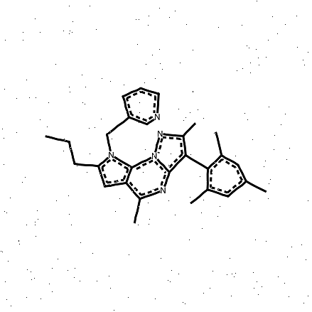 CCCc1cc2c(C)nc3c(-c4c(C)cc(C)cc4C)c(C)nn3c2n1Cc1cccnc1